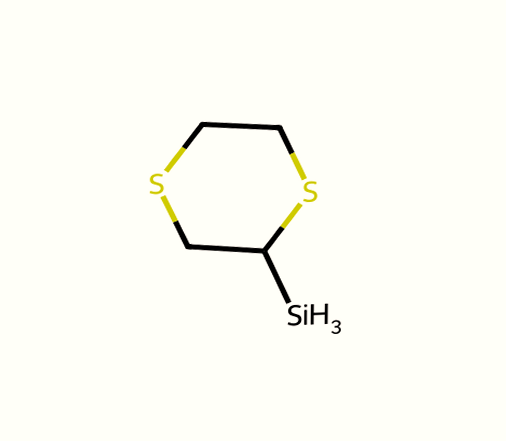 [SiH3]C1CSCCS1